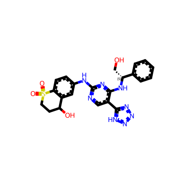 O=S1(=O)CCC(O)c2cc(Nc3ncc(-c4nnn[nH]4)c(N[C@H](CO)c4ccccc4)n3)ccc21